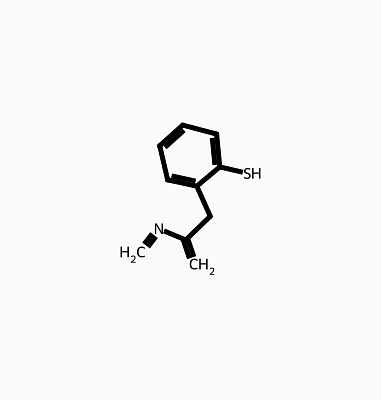 C=NC(=C)Cc1ccccc1S